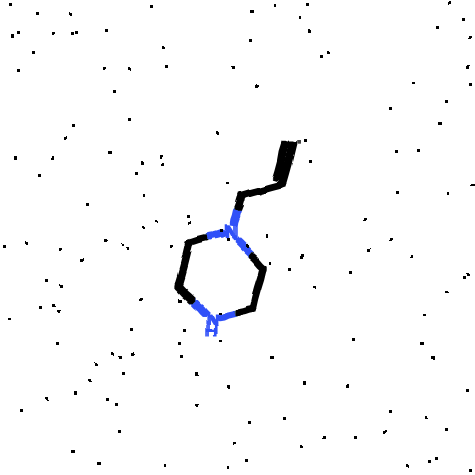 [CH]=CCN1CCNCC1